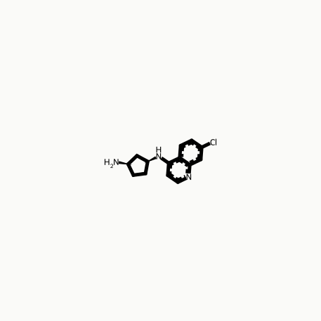 N[C@@H]1CC[C@H](Nc2ccnc3cc(Cl)ccc23)C1